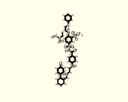 CCCN(CCC)CC[C@H](CSc1ccccc1)Nc1ccc(S(=O)(=O)NC(=O)c2ccc(NCCNCC3=C(c4ccc(Cl)cc4)CCCC3)cc2)cc1S(=O)(=O)C(F)(F)F